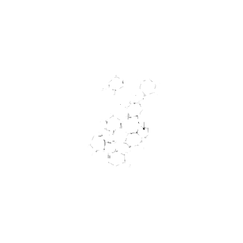 c1ccc(C2c3ccccc3-c3cc(-n4ccc5ccc6c(c54)-c4ccccc4C6(c4ccccc4)c4ccccc4)ccc32)cc1